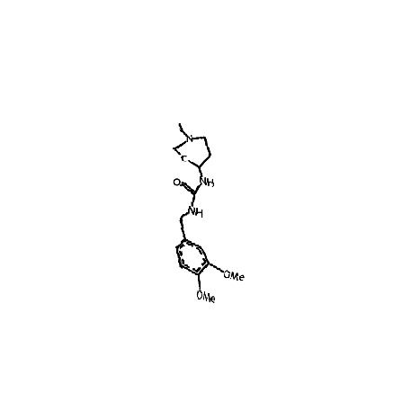 COc1ccc(CNC(=O)NC2CCN(C)CC2)cc1OC